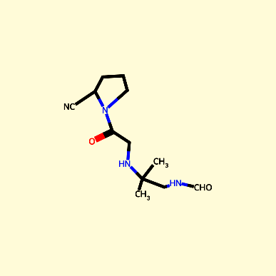 CC(C)(CNC=O)NCC(=O)N1CCCC1C#N